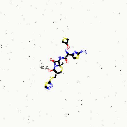 Nc1nc(C(=NOC2CSC2)C(=O)NC2C(=O)N3C(OC(=O)O)=C(CSc4nncs4)CS[C@@H]23)cs1